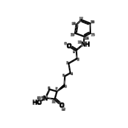 O=C(CCCCC[C@@H]1CN(O)C1=O)Nc1ccccc1